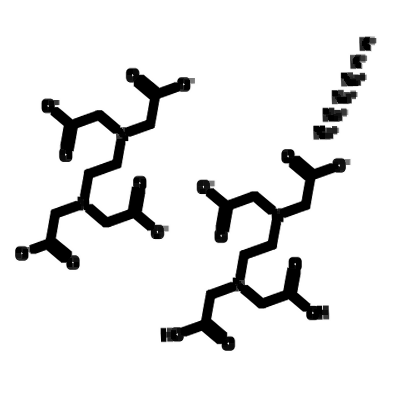 O=C([O-])CN(CCN(CC(=O)O)CC(=O)O)CC(=O)[O-].O=C([O-])CN(CCN(CC(=O)[O-])CC(=O)[O-])CC(=O)[O-].[K+].[K+].[Na+].[Na+].[Na+].[Na+]